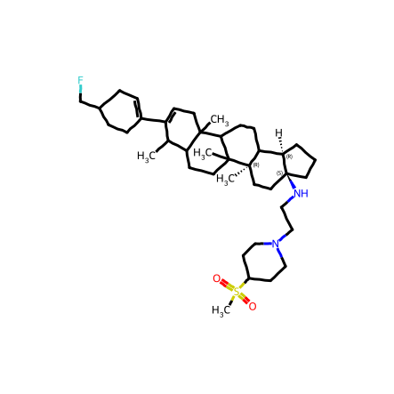 CC1C(C2=CCC(CF)CC2)=CCC2(C)C1CCC1(C)C2CCC2[C@H]3CCC[C@]3(NCCN3CCC(S(C)(=O)=O)CC3)CC[C@]21C